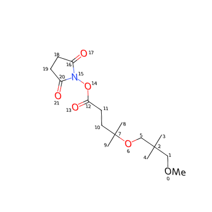 COCC(C)(C)COC(C)(C)CCC(=O)ON1C(=O)CCC1=O